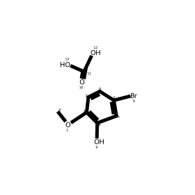 COc1ccc(Br)cc1O.O=C(O)O